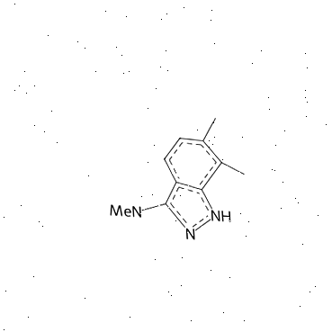 CNc1n[nH]c2c(C)c(C)ccc12